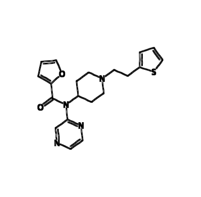 O=C(c1ccco1)N(c1cnccn1)C1CCN(CCc2cccs2)CC1